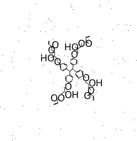 C=CC(=O)OCC(O)COc1ccc(C(c2ccc(OCC(O)COC(=O)C=C)cc2)C(c2ccc(OCC(O)COC(=O)C=C)cc2)c2ccc(OCC(O)COC(=O)C=C)cc2)cc1